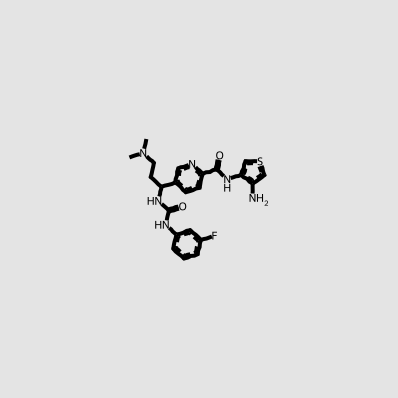 CN(C)CCC(NC(=O)Nc1cccc(F)c1)c1ccc(C(=O)Nc2cscc2N)nc1